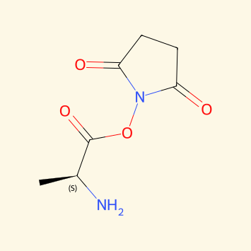 C[C@H](N)C(=O)ON1C(=O)CCC1=O